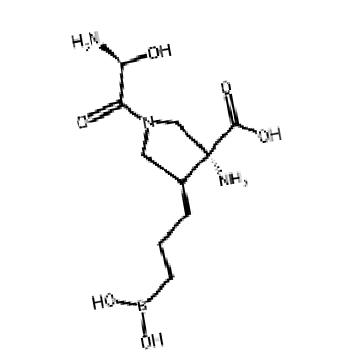 N[C@@H](O)C(=O)N1C[C@H](CCCB(O)O)[C@](N)(C(=O)O)C1